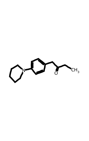 CCC(=O)Cc1ccc(N2CCCCC2)cc1